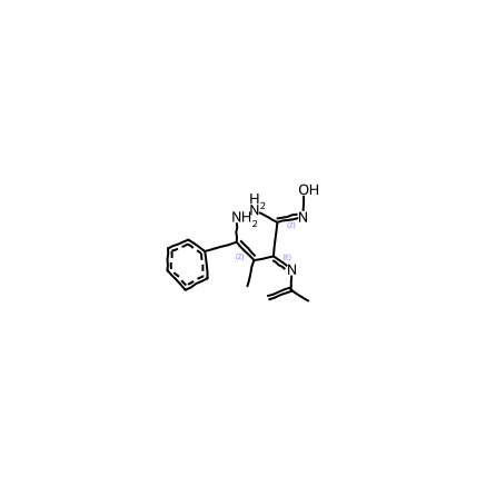 C=C(C)/N=C(C(/N)=N/O)\C(C)=C(/N)c1ccccc1